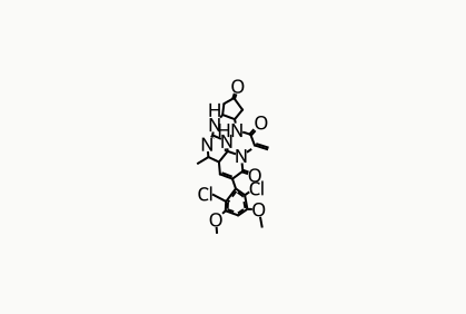 C=CC(=O)NC1CC(=O)CC1NC1=NC(C)C2C=C(c3c(Cl)c(OC)cc(OC)c3Cl)C(=O)N(C)C2=N1